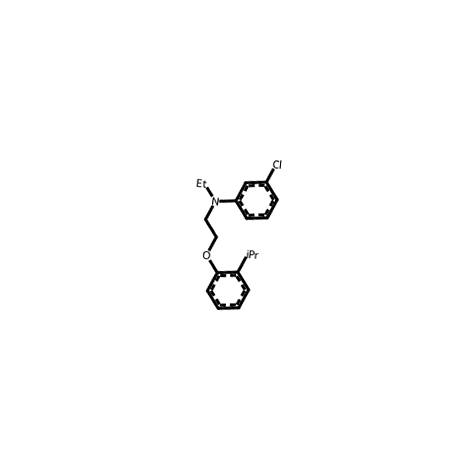 CCN(CCOc1ccccc1C(C)C)c1cccc(Cl)c1